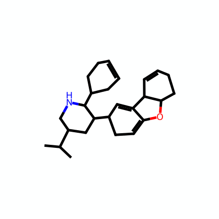 CC(C)C1CNC(C2CC=CCC2)C(C2C=C3C(=CC2)OC2CCC=CC32)C1